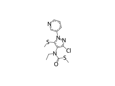 CCN(C(=O)SC)c1c(Cl)nn(-c2cccnc2)c1SC